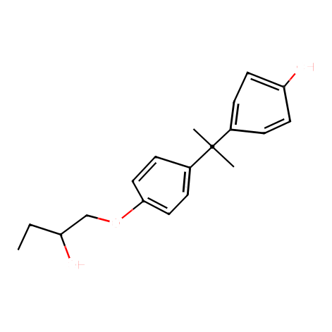 CCC(O)COc1ccc(C(C)(C)c2ccc(O)cc2)cc1